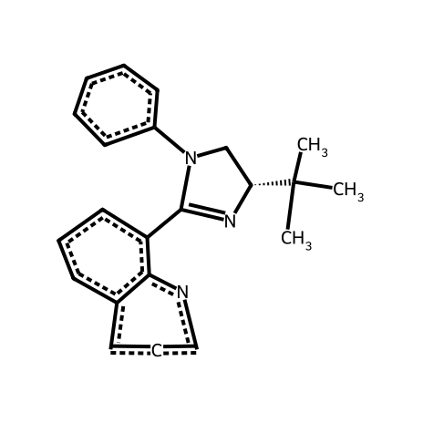 CC(C)(C)[C@H]1CN(c2ccccc2)C(c2cccc3cccnc23)=N1